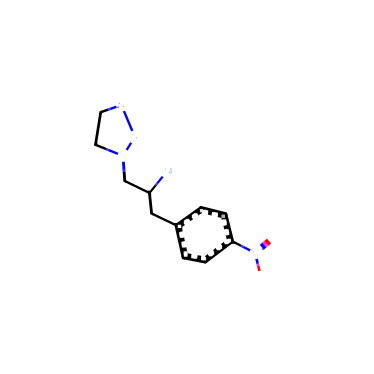 NC(Cc1ccc([N+](=O)[O-])cc1)CN1CCNN1